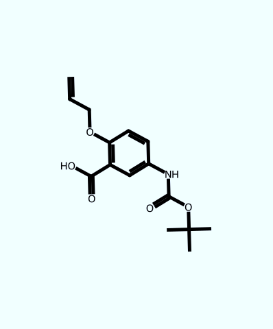 C=CCOc1ccc(NC(=O)OC(C)(C)C)cc1C(=O)O